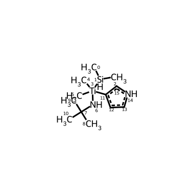 C[SiH](C)[Ti]([CH3])([CH3])([NH]C(C)(C)C)[c]1cc[nH]c1